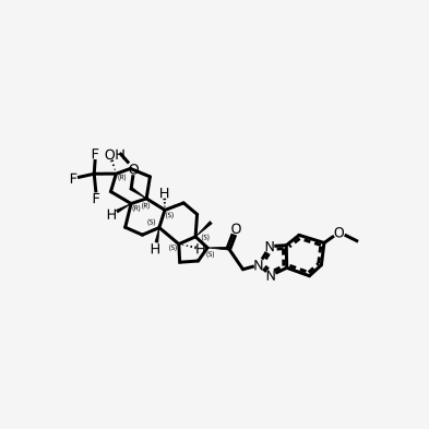 COC[C@]12CC[C@](O)(C(F)(F)F)C[C@H]1CC[C@H]1[C@@H]3CC[C@H](C(=O)Cn4nc5ccc(OC)cc5n4)[C@@]3(C)CC[C@@H]12